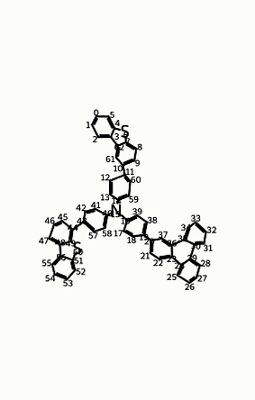 c1ccc2c(c1)sc1ccc(-c3ccc(N(c4ccc(-c5ccc6c7ccccc7c7ccccc7c6c5)cc4)c4ccc(-c5cccc6c5sc5ccccc56)cc4)cc3)cc12